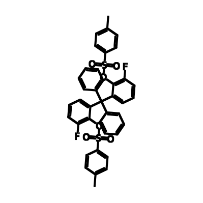 Cc1ccc(S(=O)(=O)Oc2c(F)cccc2C(c2ccccc2)(c2ccccc2)c2cccc(F)c2OS(=O)(=O)c2ccc(C)cc2)cc1